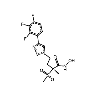 C[C@@](CCn1cc(-c2ccc(F)c(F)c2F)nn1)(C(=O)NO)S(C)(=O)=O